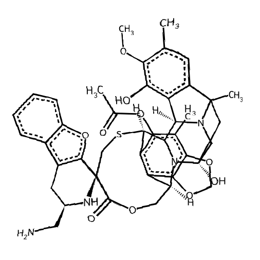 COc1c(C)cc2c(c1O)[C@@H]1C3[C@@H]4SC[C@]5(N[C@@H](CN)Cc6c5oc5ccccc65)C(=O)OC[C@@H](c5c6c(c(C)c(OC(C)=O)c54)OCO6)N3[C@]3(O)CN1C2(C)C3